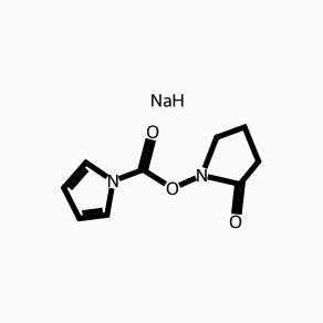 O=C1CCCN1OC(=O)n1cccc1.[NaH]